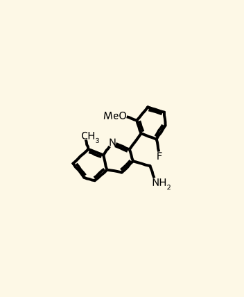 COc1cccc(F)c1-c1nc2c(C)cccc2cc1CN